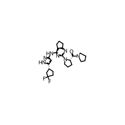 O=C([C@@H]1CCCN1c1nc2c(c(Nc3cc([C@@H]4CCC(F)(F)C4)[nH]n3)n1)CCC2)N1CCCC1